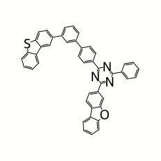 c1ccc(-c2nc(-c3ccc(-c4cccc(-c5ccc6sc7ccccc7c6c5)c4)cc3)nc(-c3ccc4c(c3)oc3ccccc34)n2)cc1